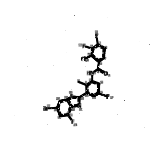 Cc1c(NC(=O)c2ccc(F)c(F)c2Cl)cc(F)cc1-c1nc2c(F)cc(Br)cc2s1